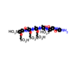 Cc1cc(N=Nc2c(S(=O)(=O)O)cc3cc(NC(=O)c4ccc(N)cc4)ccc3c2O)c(C)cc1N=Nc1cc(C)c(N=Nc2cc(C)c(C(=O)Nc3ccc4cc(S(=O)(=O)O)cc(OCCCS(=O)(=O)O)c4c3)cc2OCCCS(=O)(=O)O)cc1OCCCS(=O)(=O)O